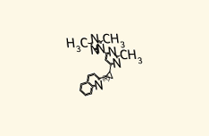 Cc1nc(C2C[C@H]2c2ccc3ccccc3n2)cc(-n2nc(C)nc2C)n1